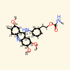 CNC(=O)OCCc1cccc(Nc2c3cc(OC)c(C)cc3nc3cc(OC)c(OC)cc23)c1